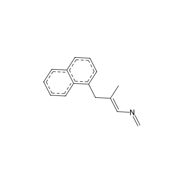 C=N/C=C(\C)Cc1cccc2ccccc12